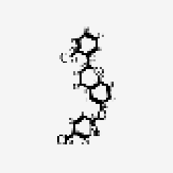 Clc1ccc(Oc2ccc3c(c2)CCC(c2ccccc2Cl)O3)nc1